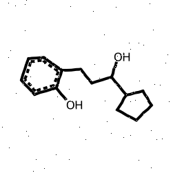 Oc1ccccc1CCC(O)C1CCCC1